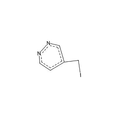 ICc1ccnnc1